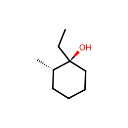 CC[C@]1(O)CCCC[C@@H]1C